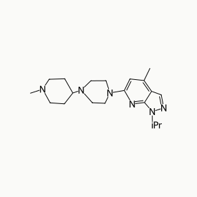 Cc1cc(N2CCN(C3CCN(C)CC3)CC2)nc2c1cnn2C(C)C